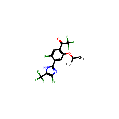 CC(C)Oc1cc(-c2nc(Br)c(C(F)(F)F)[nH]2)c(F)cc1C(=O)C(F)(F)F